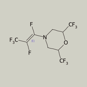 F/C(=C(/F)C(F)(F)F)N1CC(C(F)(F)F)OC(C(F)(F)F)C1